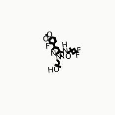 CC(C)(O)CCn1nc(NC(=O)C2(C)CC(F)(F)C2)c2cc(-c3ccc4c(c3F)OCO4)cnc21